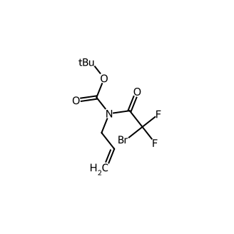 C=CCN(C(=O)OC(C)(C)C)C(=O)C(F)(F)Br